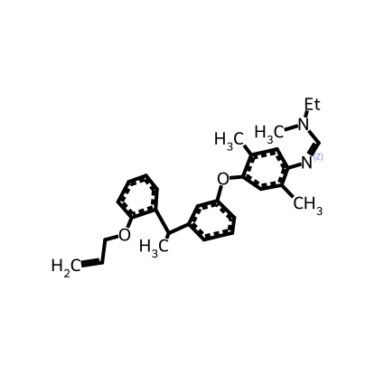 C=CCOc1ccccc1C(C)c1cccc(Oc2cc(C)c(/N=C\N(C)CC)cc2C)c1